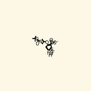 CC(C)(C)OC(=O)N1CC(Oc2ccc(S(F)(F)(F)(F)F)cc2[N+](=O)[O-])C1